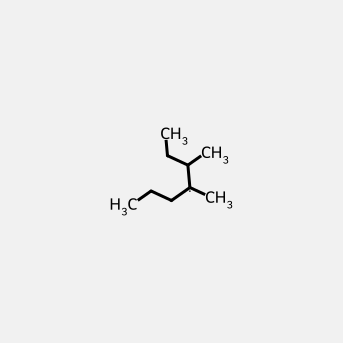 CCC[C](C)C(C)CC